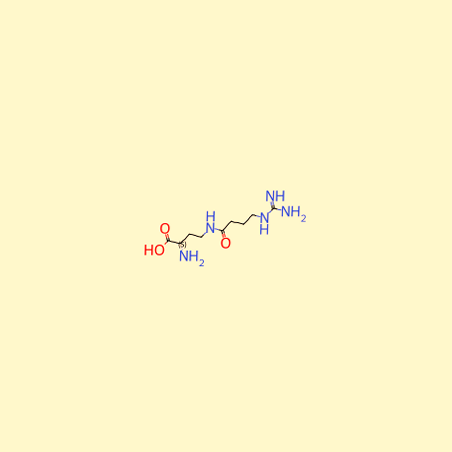 N=C(N)NCCCC(=O)NCC[C@H](N)C(=O)O